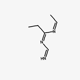 C/C=N\C(CC)=N/C=N